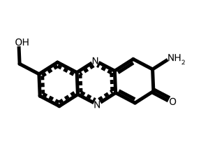 NC1C=c2nc3cc(CO)ccc3nc2=CC1=O